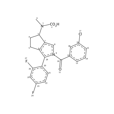 CN(C(=O)O)C1CCc2c1cn(C(=O)c1cccc(Cl)c1)c2-c1ccc(F)cc1F